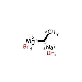 C[CH2][Mg+].[Br-].[Br-].[Na+]